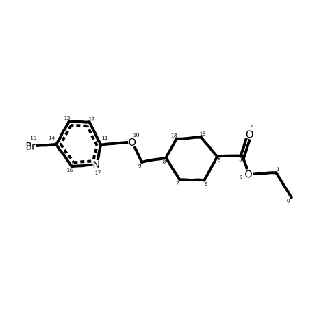 CCOC(=O)C1CCC(COc2ccc(Br)cn2)CC1